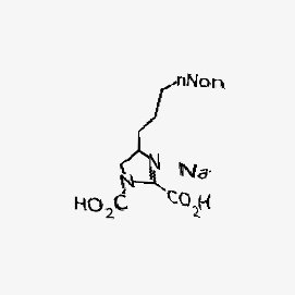 CCCCCCCCCCCCC1CN(C(=O)O)C(C(=O)O)=N1.[Na]